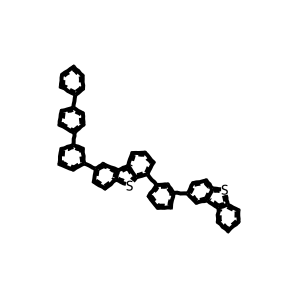 c1ccc(-c2ccc(-c3cccc(-c4ccc5sc6c(-c7cccc(-c8ccc9sc%10ccccc%10c9c8)c7)cccc6c5c4)c3)cc2)cc1